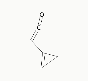 O=C=CC1=CC1